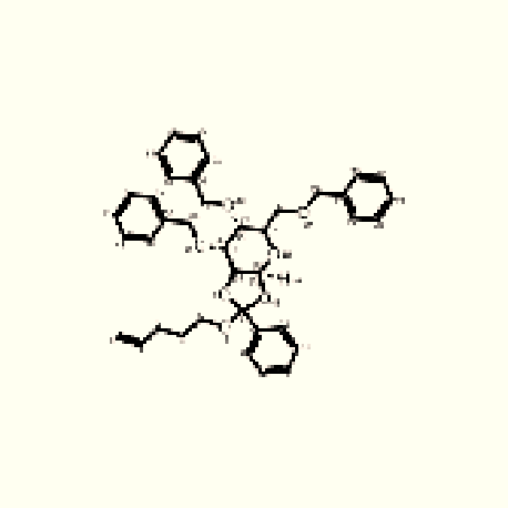 C=CCCCOC1(c2ccccc2)OC2[C@@H](OC(COCc3ccccc3)[C@@H](OCc3ccccc3)[C@H]2OCc2ccccc2)O1